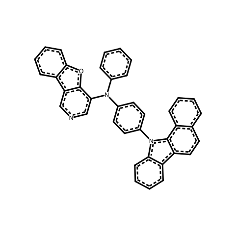 c1ccc(N(c2ccc(-n3c4ccccc4c4ccc5ccccc5c43)cc2)c2cncc3c2oc2ccccc23)cc1